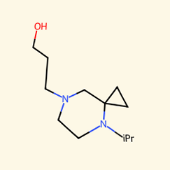 CC(C)N1CCN(CCCO)CC12CC2